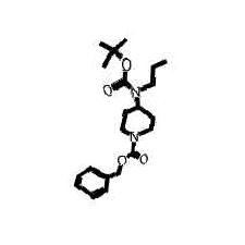 CCCN(C(=O)OC(C)(C)C)C1CCN(C(=O)OCc2ccccc2)CC1